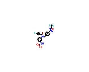 CC(F)(F)c1nc(C23CCC(CN(C(=O)C45CC(F)(C4)C5)c4cccc(NC(=O)O)c4)(CC2)CC3)no1